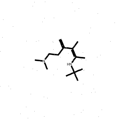 C=C(CCN(C)C)/C(C)=C(/C)NC(C)(C)C